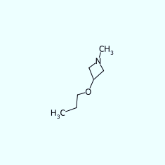 CCCOC1CN(C)C1